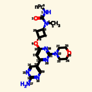 CCCNC(=O)N(C)[C@H]1C[C@H](Oc2cc(-c3cnc(N)nc3)nc(N3CCOCC3)n2)C1